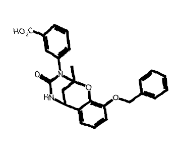 CC12CC(NC(=O)N1c1cccc(C(=O)O)c1)c1cccc(OCc3ccccc3)c1O2